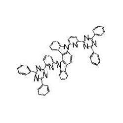 c1ccc(-c2nc(-c3ccccc3)nc(-c3cccc(-n4c5ccccc5c5c4ccc4c6ccccc6n(-c6cccc(-c7nc(-c8ccccc8)nc(-c8ccccc8)n7)n6)c45)n3)n2)cc1